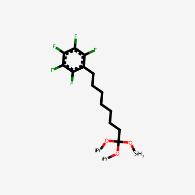 CC(C)OC(CCCCCCCc1c(F)c(F)c(F)c(F)c1F)(O[SiH3])OC(C)C